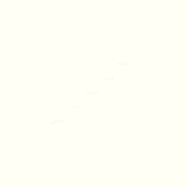 CC=CCCCCCCC=CC